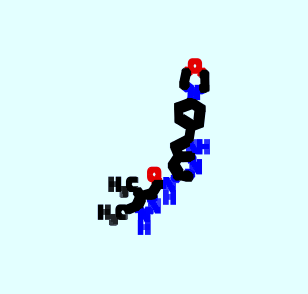 Cc1[nH]nc(C(=O)Nc2cnc3[nH]c(-c4ccc(N5CCOCC5)cc4)cc3c2)c1C